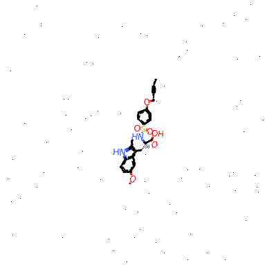 CC#CCOc1ccc(S(=O)(=O)N[C@@H](Cc2c(C)[nH]c3ccc(OC)cc23)C(=O)O)cc1